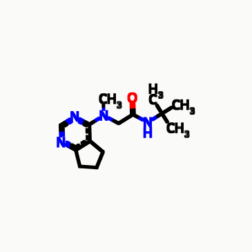 CN(CC(=O)NC(C)(C)C)c1ncnc2c1CCC2